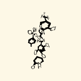 Cc1ccc(S(=O)(=O)O)cc1.O=C1CCC(Oc2cc(Cl)c(-c3noc(-c4cn5cc(C(F)(F)F)cc(Cl)c5n4)n3)cc2Cl)CN1